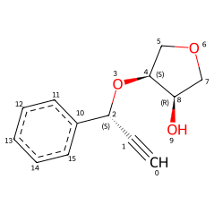 C#C[C@@H](O[C@H]1COC[C@H]1O)c1ccccc1